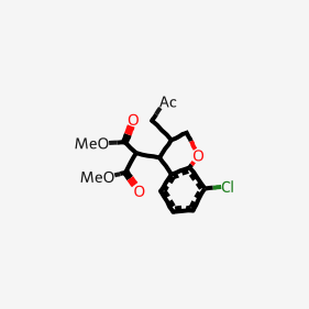 COC(=O)C(C(=O)OC)C1c2cccc(Cl)c2OCC1CC(C)=O